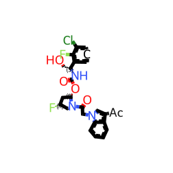 CC(=O)c1cn(CC(=O)N2C[C@H](F)C[C@@H]2OC(=O)N[C@H](CO)c2cccc(Cl)c2F)c2ccccc12